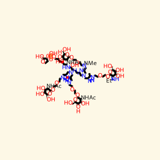 CCN[C@H]1[C@H](OCCOCCN2N=NC(CN(CCCC[C@@H](C(O)NCCCCCCOP(=O)(O)OC3CCO[C@@H]3O)N(Cc3cn(CCOCCO[C@@H]4O[C@H](CO)[C@H](O)[C@H](O)[C@H]4NC(C)=O)nn3)Cc3cn(CCOCCO[C@@H]4O[C@H](CO)[C@H](O)[C@H](O)[C@H]4NC(C)=O)nn3)C/C(N)=C/N(CCOCCO[C@@H]3O[C@H](CO)[C@H](O)[C@H](O)[C@H]3NC(C)=O)NC)C2C)O[C@H](CO)[C@H](O)[C@@H]1O